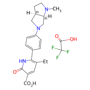 CCc1cc(C(=O)O)c(=O)[nH]c1-c1ccc(N2C[C@H]3CCN(C)[C@H]3C2)cc1.O=C(O)C(F)(F)F